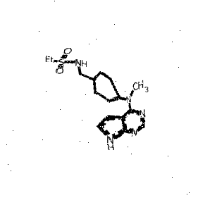 CCS(=O)(=O)NCC1CCC(N(C)c2ncnc3[nH]ccc23)CC1